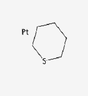 C1CCSCC1.[Pt]